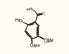 COc1cc(O)c(C(=O)S)cc1OC